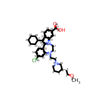 COCC[C@@H]1CCCN(CCN2CCn3c(c(C4CCCCC4)c4ccc(C(=O)O)cc43)-c3ccc(Cl)cc32)C1